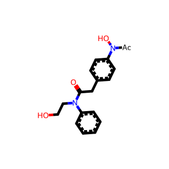 CC(=O)N(O)c1ccc(CC(=O)N(CCO)c2ccccc2)cc1